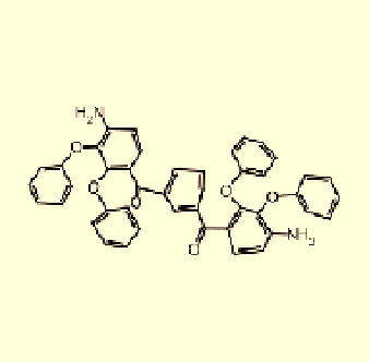 Nc1ccc(C(=O)c2cccc(C(=O)c3ccc(N)c(Oc4ccccc4)c3Oc3ccccc3)c2)c(Oc2ccccc2)c1Oc1ccccc1